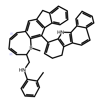 CB1c2c(cc3c(c2C2=CCCc4c2[nH]c2c4ccc4ccccc42)-c2ccccc2C3)/C=C\C=C/C1CNc1ccccc1C